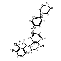 CC(c1c(F)ccc(F)c1Cl)N1CCNc2ncc(Oc3ccc(N4CCOCC4)cc3)nc21